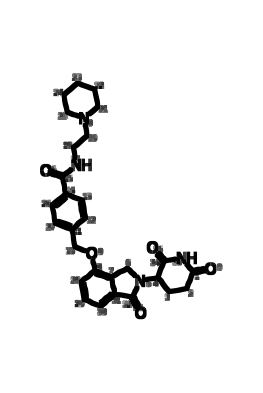 O=C1CCC(N2Cc3c(OCc4ccc(C(=O)NCCN5CCCCC5)cc4)cccc3C2=O)C(=O)N1